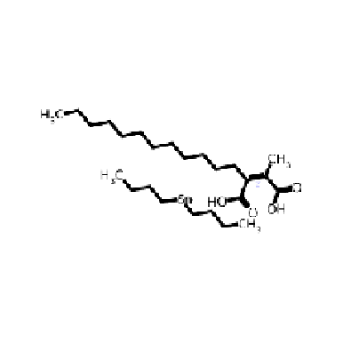 CCCCCCCCCCCC/C(C(=O)O)=C(\C)C(=O)O.CCC[CH2][Sn][CH2]CCC